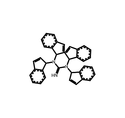 N=C(N(C1C=Cc2ccccc21)C1C=Cc2ccccc21)N(C1C=Cc2ccccc21)C1C=Cc2ccccc21